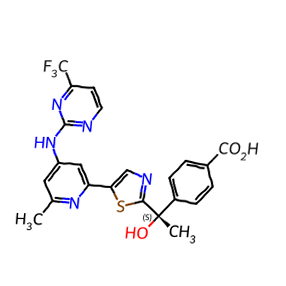 Cc1cc(Nc2nccc(C(F)(F)F)n2)cc(-c2cnc([C@@](C)(O)c3ccc(C(=O)O)cc3)s2)n1